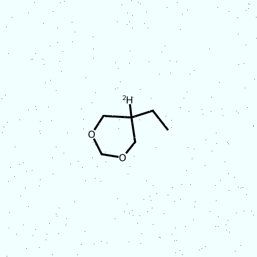 [2H]C1(CC)COCOC1